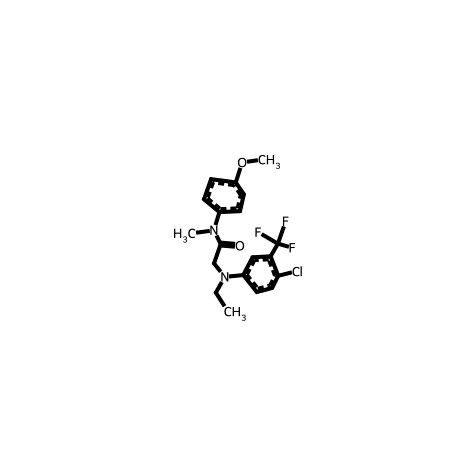 CCN(CC(=O)N(C)c1ccc(OC)cc1)c1ccc(Cl)c(C(F)(F)F)c1